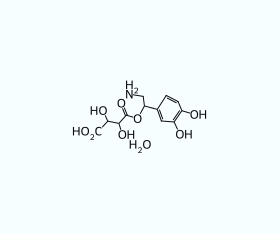 NCC(OC(=O)C(O)C(O)C(=O)O)c1ccc(O)c(O)c1.O